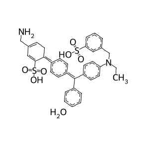 CCN(Cc1cccc(S(=O)(=O)O)c1)c1ccc(C(c2ccccc2)=c2ccc(=C3CC=C(CN)C=C3S(=O)(=O)O)cc2)cc1.O